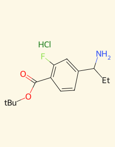 CCC(N)c1ccc(C(=O)OC(C)(C)C)c(F)c1.Cl